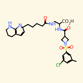 Cc1cc(Cl)cc(S(=O)(=O)N2CC(C(=O)NC(CNC(=O)CCCCc3ccc4c(n3)NCCC4)C(=O)O)C2)c1